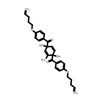 C=CCCCOc1ccc(C(=O)C2(O)C=CC(O)(C(=O)c3ccc(OCCCC=C)cc3)C(C)=C2)cc1